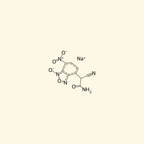 N#CC(C(N)=O)c1ccc([N+](=O)[O-])c2c1no[n+]2[O-].[Na+]